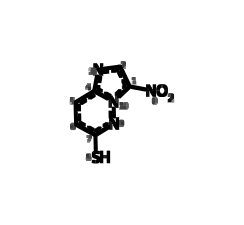 O=[N+]([O-])c1cnc2ccc(S)nn12